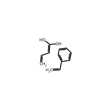 C=CC=C(O)O.C=Cc1ccccc1